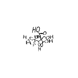 CC(C)(C)C(O)C(CO)(NC(=O)O)C(=O)O